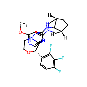 COc1cc(N2C[C@H]3CC[C@@H](C2)[C@@H]3Nc2nc3n(n2)CCO[C@H]3c2ccc(F)c(F)c2F)ccn1